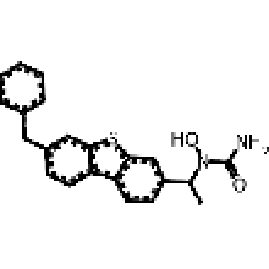 CC(c1ccc2c(c1)sc1cc(Cc3ccccc3)ccc12)N(O)C(N)=O